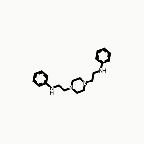 c1ccc(NCCN2CCN(CCNc3ccccc3)CC2)cc1